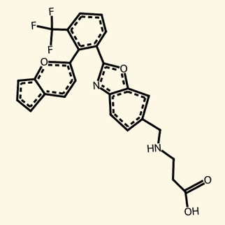 O=C(O)CCNCc1ccc2nc(-c3cccc(C(F)(F)F)c3-c3ccc4cccc-4o3)oc2c1